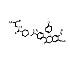 COc1cc2c(cc1OC(C)C)[C@H](c1ccc(Cl)cc1)N(c1ccc(N(C)C[C@H]3CC[C@H](C(=O)NCC(C)O)CC3)cc1)C(=O)C2